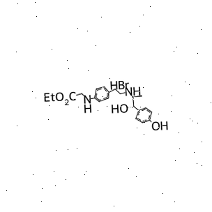 Br.CCOC(=O)CNc1ccc(CCN[C@@H](C)[C@@H](O)c2ccc(O)cc2)cc1